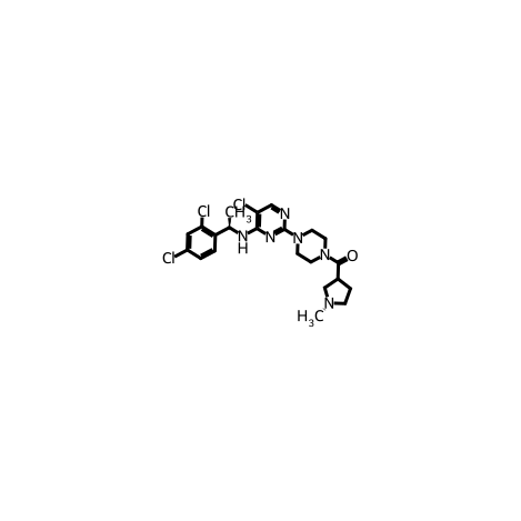 C[C@@H](Nc1nc(N2CCN(C(=O)C3CCN(C)C3)CC2)ncc1Cl)c1ccc(Cl)cc1Cl